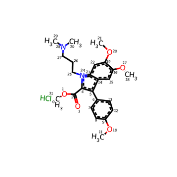 COC(=O)c1c(-c2ccc(OC)cc2)c2cc(OC)c(OC)cc2n1CCCN(C)C.Cl